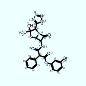 CC1(C)SC2C(NC(=O)C(C(=O)Oc3cccc(Br)c3)c3ccccc3)C(=O)N2C1c1nnn[nH]1